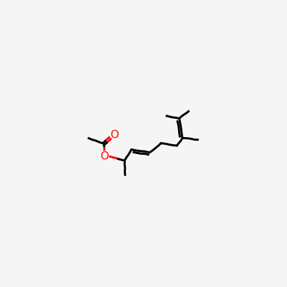 CC(=O)OC(C)C=CCCC(C)=C(C)C